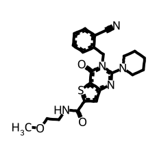 COCCNC(=O)c1cc2nc(N3CCCCC3)n(Cc3ccccc3C#N)c(=O)c2s1